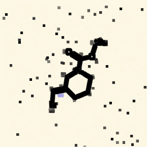 CC(C)(C)OC(=O)N1CCC/C(=C\Br)C1